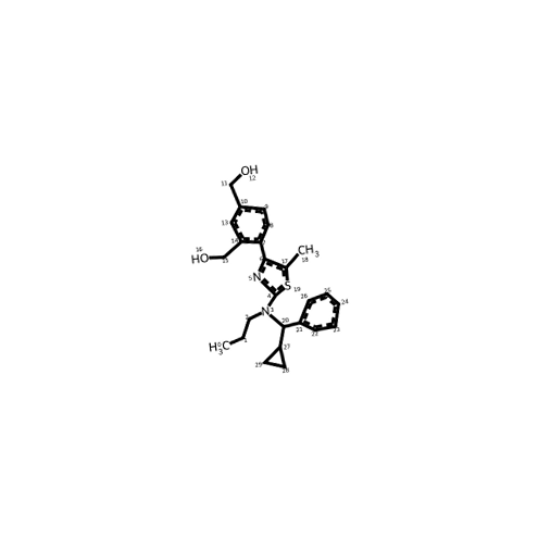 CCCN(c1nc(-c2ccc(CO)cc2CO)c(C)s1)C(c1ccccc1)C1CC1